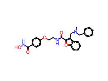 CN(Cc1ccccc1)Cc1c(C(=O)NCCOc2ccc(C(=O)NO)cc2)oc2ccccc12